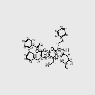 CC(C)C[C@H](NC(=O)[C@H](CCc1ccccc1)NC(=O)CC(C)C(C)I)C(=O)N[C@@H](Cc1ccccc1)C(=O)OC(=O)c1ccccc1